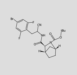 CC(C)(C)OC(=O)N1[C@@H]2CC[C@@H](C2)[C@H]1C(=O)NC(C#N)Cc1c(F)cc(Br)cc1F